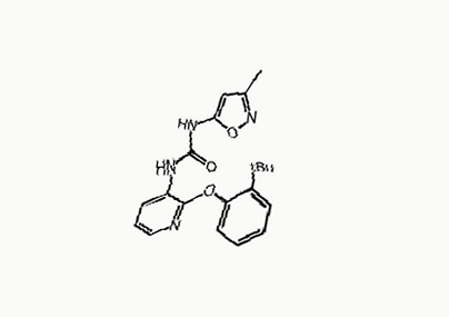 Cc1cc(NC(=O)Nc2cccnc2Oc2ccccc2C(C)(C)C)on1